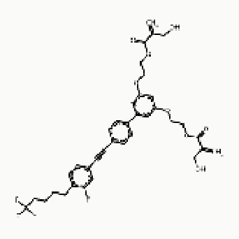 C=C(CO)C(=O)OCCOc1cc(OCCOC(=O)C(=C)CO)cc(-c2ccc(C#Cc3ccc(CCCCC(F)(F)F)c(F)c3)cc2)c1